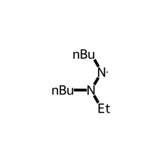 CCCC[N]N(CC)CCCC